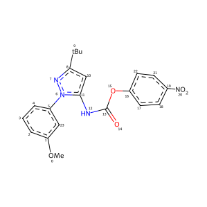 COc1cccc(-n2nc(C(C)(C)C)cc2NC(=O)Oc2ccc([N+](=O)[O-])cc2)c1